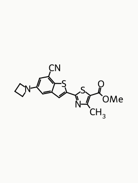 COC(=O)c1sc(-c2cc3cc(N4CCC4)cc(C#N)c3s2)nc1C